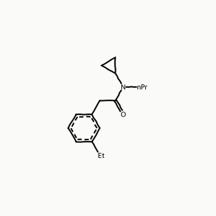 CCCN(C(=O)Cc1cccc(CC)c1)C1CC1